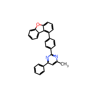 Cc1cc(-c2ccccc2)nc(-c2ccc(-c3cccc4oc5ccccc5c34)cc2)n1